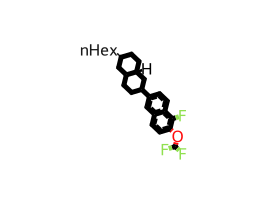 CCCCCC[C@@H]1CC[C@@H]2CC(c3ccc4c(F)c(OC(F)F)ccc4c3)CCC2C1